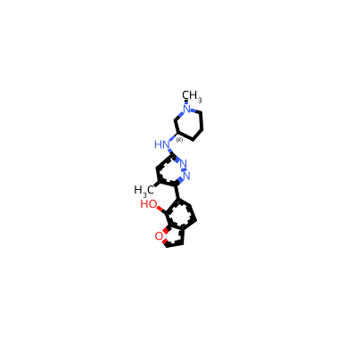 Cc1cc(N[C@@H]2CCCN(C)C2)nnc1-c1ccc2ccoc2c1O